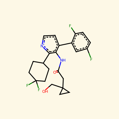 O=C(CC1(CO)CC1)Nc1c(-c2cc(F)ccc2F)ccnc1C1CCC(F)(F)CC1